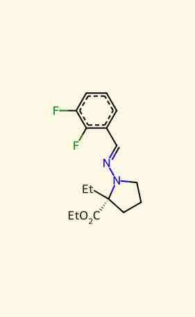 CCOC(=O)[C@@]1(CC)CCCN1N=Cc1cccc(F)c1F